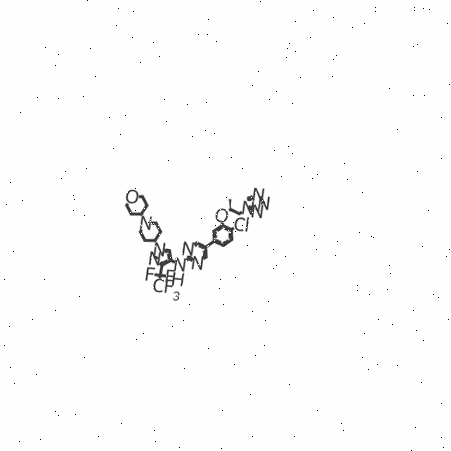 C[C@@H](Cn1cnnn1)Oc1cc(-c2cnc(Nc3cn(C4CCN(C5CCOCC5)CC4)nc3C(F)(F)C(F)(F)F)nc2)ccc1Cl